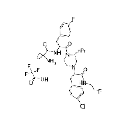 CCCC1CN(C(Cc2ccc(Cl)cc2)C(=O)NCCF)CCN1C(=O)C(Cc1ccc(F)cc1)NC(=O)C1(N)CC1.O=C(O)C(F)(F)F